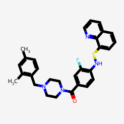 Cc1ccc(CN2CCN(C(=O)c3ccc(NSc4cccc5cccnc45)c(F)c3)CC2)c(C)c1